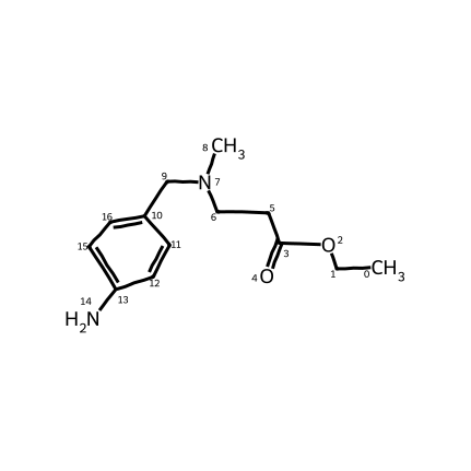 CCOC(=O)CCN(C)Cc1ccc(N)cc1